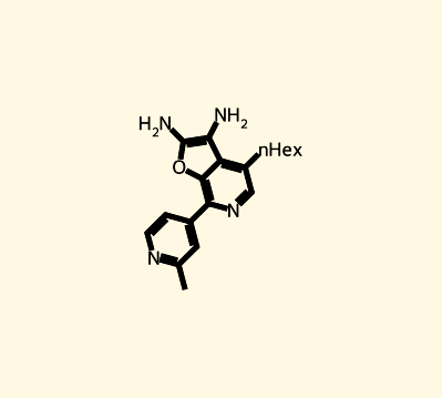 CCCCCCc1cnc(-c2ccnc(C)c2)c2oc(N)c(N)c12